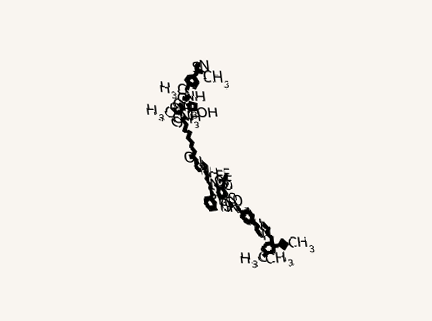 Cc1ncsc1-c1ccc([C@H](C)NC(=O)[C@@H]2C[C@@H](O)CN2C(=O)C(NC(=O)CCCCCCCC(=O)N2CCN(CCC(CSc3ccccc3)Nc3ccc(S(=O)(=O)NC(=O)c4ccc(N5CCN(CC6=C(C78CC(C)(C7)C8)CC(C)(C)CC6)CC5)cc4)cc3S(=O)(=O)C(F)(F)F)CC2)C(C)(C)C)cc1